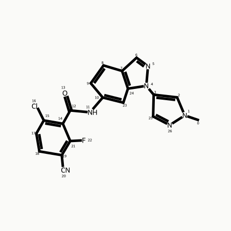 Cn1cc(-n2ncc3ccc(NC(=O)c4c(Cl)ccc(C#N)c4F)cc32)cn1